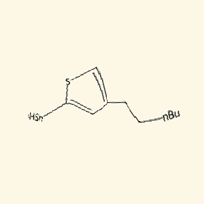 CCCCCCc1cs[c]([SnH])c1